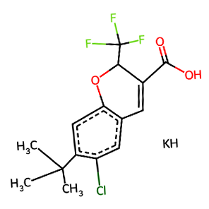 CC(C)(C)c1cc2c(cc1Cl)C=C(C(=O)O)C(C(F)(F)F)O2.[KH]